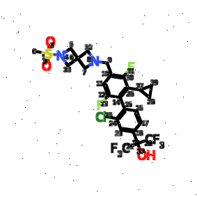 CS(=O)(=O)N1CC2(CN(Cc3cc(F)c(-c4ccc(C(O)(C(F)(F)F)C(F)(F)F)cc4Cl)c(C4CC4)c3F)C2)C1